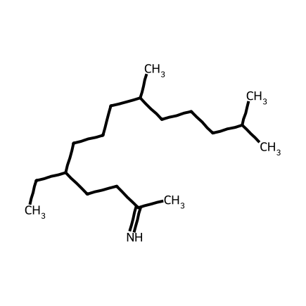 CCC(CCCC(C)CCCC(C)C)CCC(C)=N